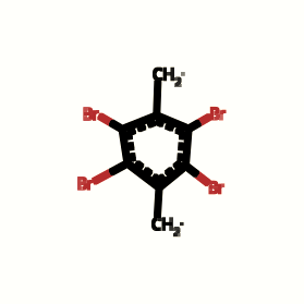 [CH2]c1c(Br)c(Br)c([CH2])c(Br)c1Br